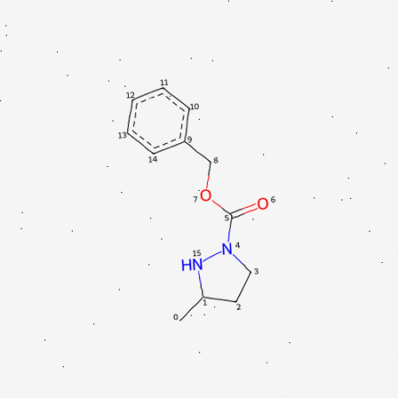 CC1CCN(C(=O)OCc2ccccc2)N1